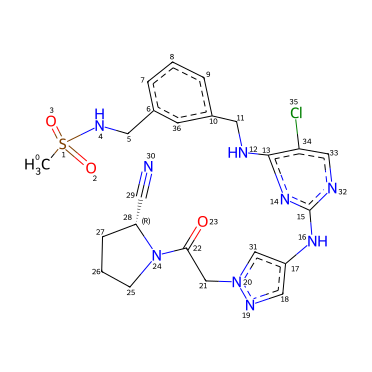 CS(=O)(=O)NCc1cccc(CNc2nc(Nc3cnn(CC(=O)N4CCC[C@@H]4C#N)c3)ncc2Cl)c1